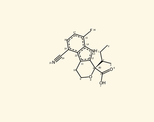 CCC(C)[C@@]1(C(=O)O)OCCc2c1[nH]c1c(F)ccc(C#N)c21